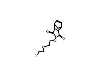 O=C1C2C3C=CC(C3)C2C(=O)N1OCCOCCBr